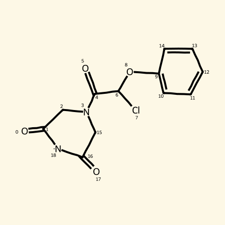 O=C1CN(C(=O)C(Cl)Oc2ccccc2)CC(=O)[N]1